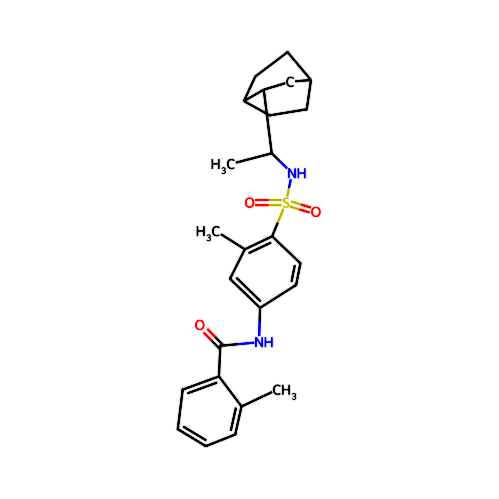 Cc1ccccc1C(=O)Nc1ccc(S(=O)(=O)NC(C)C2CC3CCC2CC3)c(C)c1